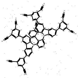 N#Cc1cc(C#N)cc(-c2ccc3c(c2)c2cc(-c4cc(C#N)cc(C#N)c4)ccc2n3-c2cncc(-n3c4ccc(-c5cc(C#N)cc(C#N)c5)cc4c4cc(-c5cc(C#N)cc(C#N)c5)ccc43)c2-c2cccc(C#N)c2)c1